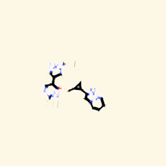 Cc1ncc(-c2cnn(C)c2)c(OCC2CC2c2cc3ccccn3n2)n1